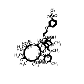 CC[C@H]1OC(=O)[C@H](C)[C@@H](O[C@H]2C[C@@](C)(OC)[C@@H](O)[C@H](C)O2)[C@H](C)[C@@H](O[C@@H]2O[C@H](C)C[C@H](N(C)CCc3cnn(CCOc4cccc(S(C)(=O)=O)c4)c3)[C@H]2O)[C@](C)(OC)C[C@@H](C)C(=O)[C@H](C)[C@@H](O)[C@]1(C)O